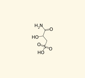 NC(=O)C(O)CS(=O)(=O)O